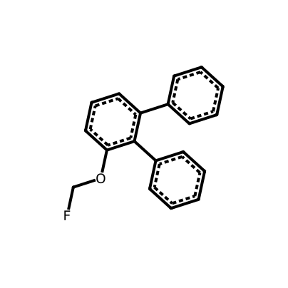 FCOc1cccc(-c2ccccc2)c1-c1ccccc1